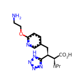 CCC[C@H](C(=O)O)[C@H](Cc1ccc(OCCN)nc1)c1nnn[nH]1